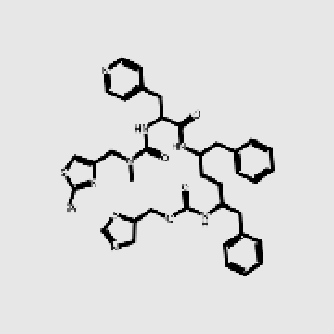 CC(C)c1nc(CN(C)C(=O)NC(Cc2ccncc2)C(=O)NC(CCC(Cc2ccccc2)NC(=O)OCC2CN=CS2)Cc2ccccc2)cs1